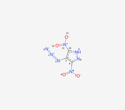 [N-]=[N+]=Nc1c([N+](=O)[O-])n[nH]c1[N+](=O)[O-]